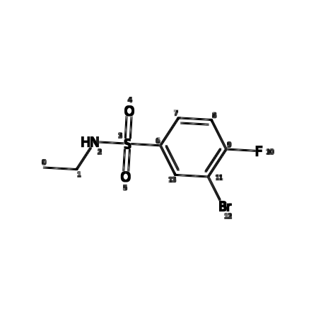 CCNS(=O)(=O)c1ccc(F)c(Br)c1